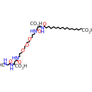 O=CNCC(=O)N[C@@H](CC(=O)NCCCOCCOCCOCCCNC(=O)C[C@H](NC(=O)CCCCCCCCCCCCCCCCC(=O)O)C(=O)O)C(=O)O